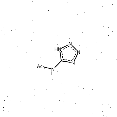 [CH2]C(=O)Nc1nnn[nH]1